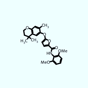 COc1cccc(OC)c1NC(=O)c1ccc(Oc2cc3c(cc2C)OCCC3(C)C)o1